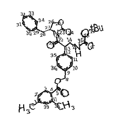 Cc1ccc(C(=O)OCc2ccc(C(CNC(=O)OC(C)(C)C)C(=O)N3C(=O)OCC3Cc3ccccc3)cc2)c(C)c1